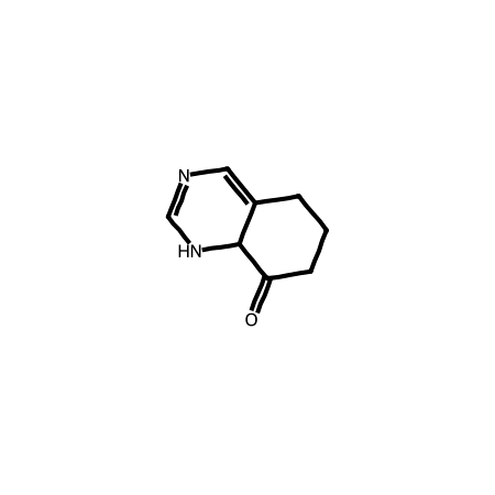 O=C1CCCC2=CN=CNC12